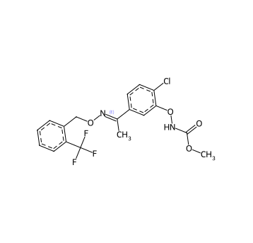 COC(=O)NOc1cc(/C(C)=N/OCc2ccccc2C(F)(F)F)ccc1Cl